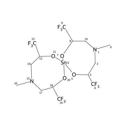 CN1CC(C(F)(F)F)[O][Sn]2([O]C(C(F)(F)F)C1)[O]C(C(F)(F)F)CN(C)CC(C(F)(F)F)[O]2